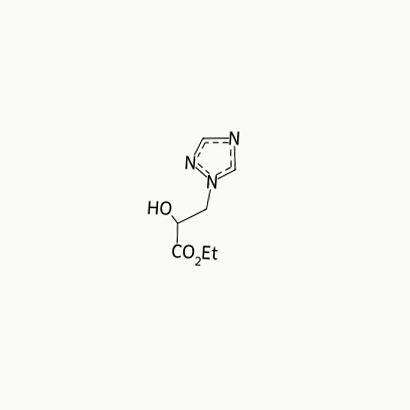 CCOC(=O)C(O)Cn1cncn1